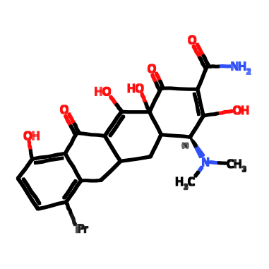 CC(C)c1ccc(O)c2c1CC1CC3[C@H](N(C)C)C(O)=C(C(N)=O)C(=O)C3(O)C(O)=C1C2=O